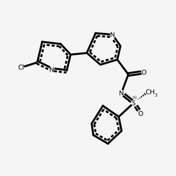 C[S@@](=O)(=NC(=O)c1cncc(-c2ccc(Cl)nc2)c1)c1ccccc1